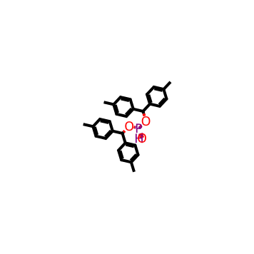 Cc1ccc(C(O[PH](=O)OC(c2ccc(C)cc2)c2ccc(C)cc2)c2ccc(C)cc2)cc1